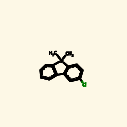 C[Si]1(C)c2ccccc2-c2cc(Cl)ccc21